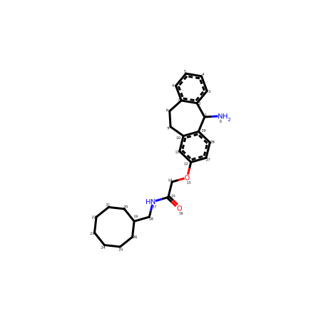 NC1c2ccccc2CCc2cc(OCC(=O)NCC3CCCCCCC3)ccc21